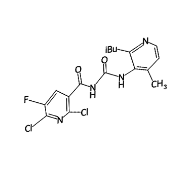 CCC(C)c1nccc(C)c1NC(=O)NC(=O)c1cc(F)c(Cl)nc1Cl